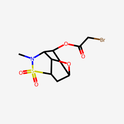 CN1C2C(OC(=O)CBr)C3CC(C2O3)S1(=O)=O